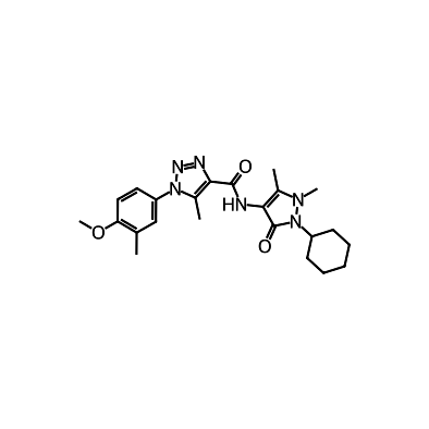 COc1ccc(-n2nnc(C(=O)Nc3c(C)n(C)n(C4CCCCC4)c3=O)c2C)cc1C